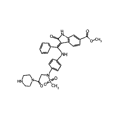 COC(=O)c1ccc2c(c1)NC(=O)C2=C(Nc1ccc(N(CC(=O)N2CCNCC2)S(C)(=O)=O)cc1)c1ccccc1